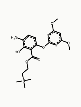 COc1cc(OC)nc(Oc2ccc(N)c(O)c2C(=O)OCC[Si](C)(C)C)n1